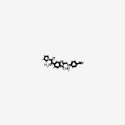 Cn1c(CNc2ccc(C#N)cc2)nc2cc(C(N)C(=O)N3CCCC3)ccc21